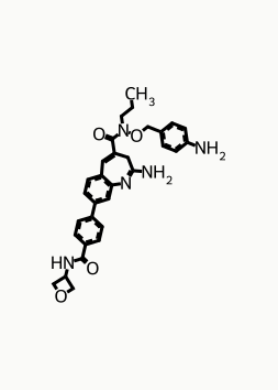 CCCN(OCc1ccc(N)cc1)C(=O)C1=Cc2ccc(-c3ccc(C(=O)NC4COC4)cc3)cc2N=C(N)C1